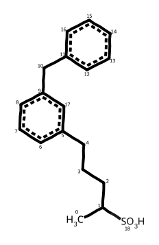 CC(CCCc1cccc(Cc2ccccc2)c1)S(=O)(=O)O